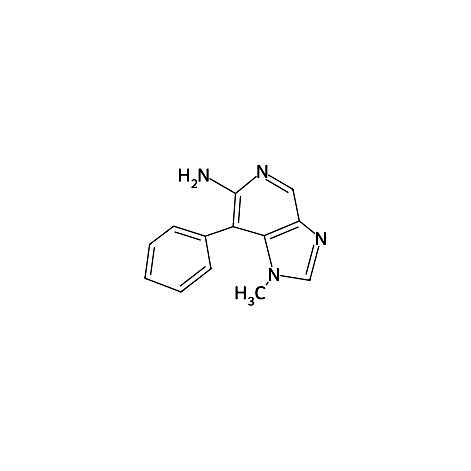 Cn1cnc2cnc(N)c(-c3ccccc3)c21